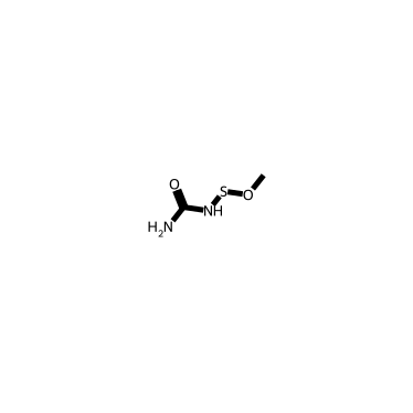 COSNC(N)=O